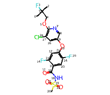 CC(C)(F)COc1ncc(Oc2cc(F)c(C(=O)NS(C)(=O)=O)cc2F)cc1Cl